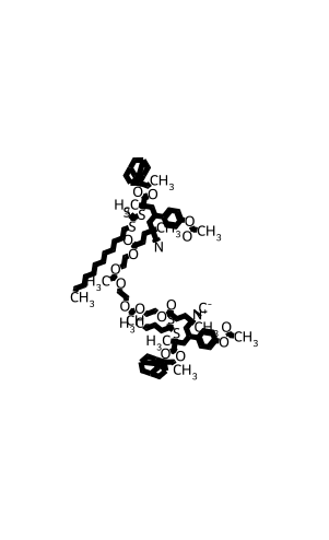 [C-]#[N+]C(C)(CCC(=O)OCCOC(C)OCCOC(C)OCCOC(=O)CCC(C)(C#N)CC(CC(C)(SC(=S)SCCCCCCCCCCCC)C(=O)OC1(CC)C2CC3CC(C2)CC1C3)c1ccc(OC(C)=O)cc1)CC(CC(C)(SC(=S)CCCC)C(=O)OC1(CC)C2CC3CC(C2)CC1C3)c1ccc(OC(C)=O)cc1